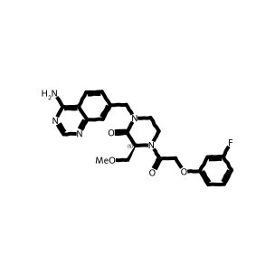 COC[C@H]1C(=O)N(Cc2ccc3c(N)ncnc3c2)CCN1C(=O)COc1cccc(F)c1